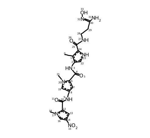 Cc1c(NC(=O)c2cc(NC(=O)c3cc([N+](=O)[O-])cn3C)cn2C)c[nH]c1C(=O)NCCC(N)=NO